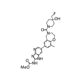 COC(=O)Nc1nc2ncc(-c3cc(C)c4c(c3)CN(C(=O)N3CCC(O)(CF)CC3)CCO4)cc2[nH]1